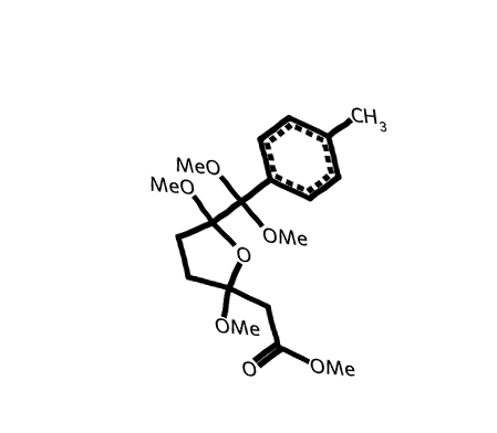 COC(=O)CC1(OC)CCC(OC)(C(OC)(OC)c2ccc(C)cc2)O1